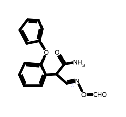 NC(=O)C(/C=N/OC=O)c1ccccc1Oc1ccccc1